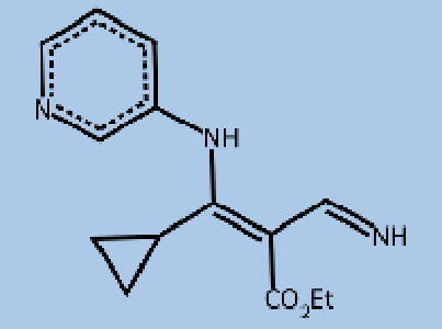 CCOC(=O)/C(C=N)=C(/Nc1cccnc1)C1CC1